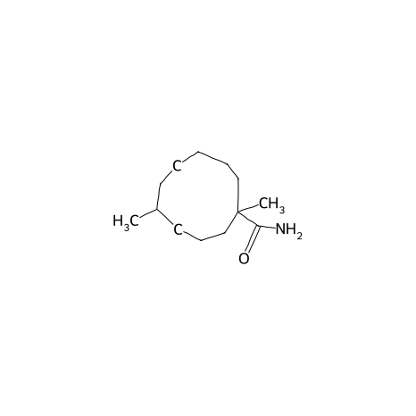 CC1CCCCCC(C)(C(N)=O)CCC1